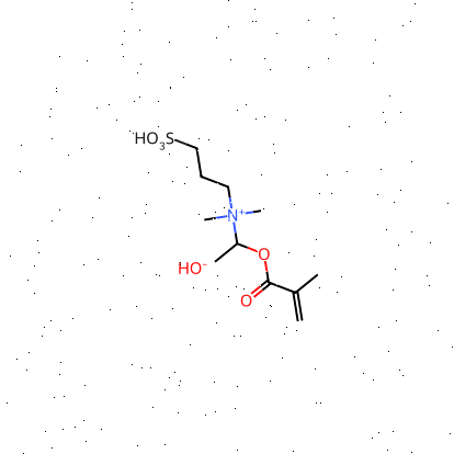 C=C(C)C(=O)OC(C)[N+](C)(C)CCCS(=O)(=O)O.[OH-]